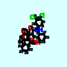 O=C(Nc1ccc(Cl)c(Cl)c1)[C@H]1[C@H](c2ccccc2)O[C@]23[C@H](OC(=O)[C@@H]12)c1ccccc1[C@@H]3O